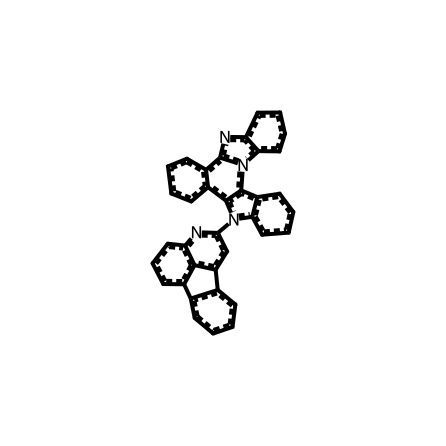 c1ccc2c(c1)-c1cccc3nc(-n4c5ccccc5c5c4c4ccccc4c4nc6ccccc6n45)cc-2c13